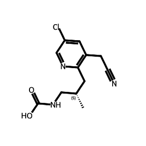 C[C@H](CNC(=O)O)Cc1ncc(Cl)cc1CC#N